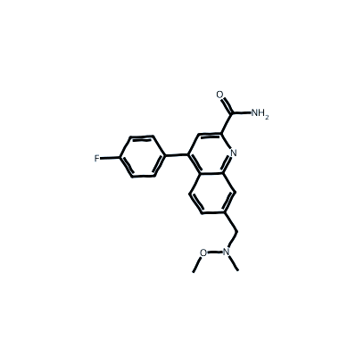 CON(C)Cc1ccc2c(-c3ccc(F)cc3)cc(C(N)=O)nc2c1